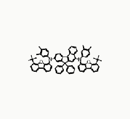 Cc1ccc(N(c2ccc3c(c2)C(c2ccccc2)(c2ccccc2)c2cc(N(c4ccc(C)c(C)c4)c4cccc5c4oc4c(C(C)(C)C)cccc45)c4ccccc4c2-3)c2cccc3c2oc2c(C(C)(C)C)cccc23)cc1C